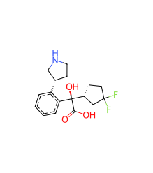 O=C(O)[C@](O)(c1ccccc1[C@H]1CCNC1)[C@@H]1CCC(F)(F)C1